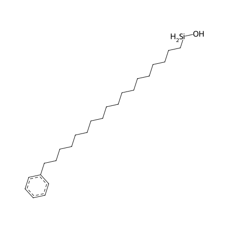 O[SiH2]CCCCCCCCCCCCCCCCCCc1ccccc1